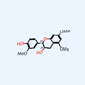 COc1cc(OC)c2c(c1)O[C@H](c1ccc(O)c(OC)c1)[C@H](O)C2